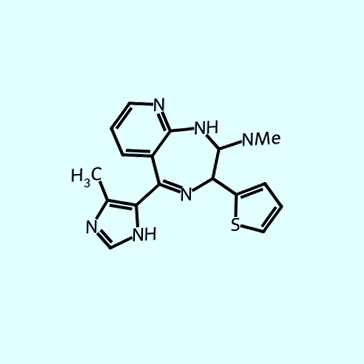 CNC1Nc2ncccc2C(c2[nH]cnc2C)=NC1c1cccs1